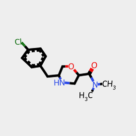 CN(C)C(=O)C1CNC(Cc2ccc(Cl)cc2)CO1